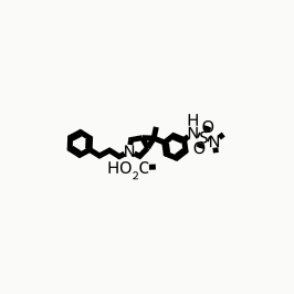 CC(=O)O.CN(C)S(=O)(=O)Nc1cccc(C2(C)C3CN(CCCc4ccccc4)CC32)c1